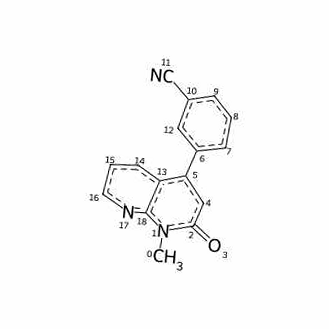 Cn1c(=O)cc(-c2cccc(C#N)c2)c2cccnc21